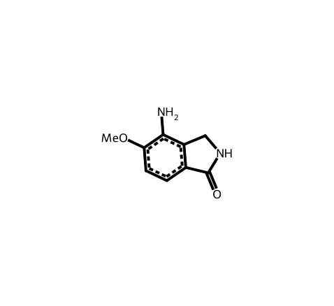 COc1ccc2c(c1N)CNC2=O